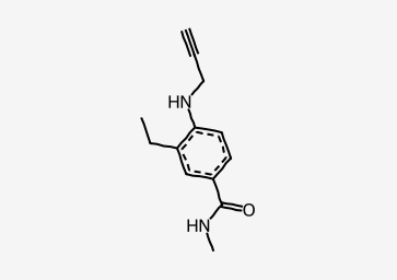 C#CCNc1ccc(C(=O)NC)cc1CC